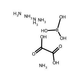 N.N.N.N.N.O=C(O)C(=O)O.OB(O)O